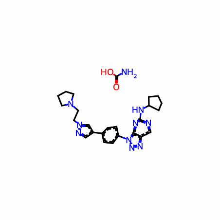 NC(=O)O.c1cc(-n2nnc3cnc(NC4CCCC4)nc32)ccc1-c1cnn(CCN2CCCC2)c1